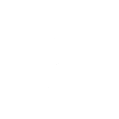 BrCCCCBr.c1ccc(P(c2ccccc2)c2ccccc2)cc1